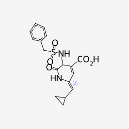 O=C(O)C1=C/C(=C/C2CC2)NC(=O)C1NS(=O)(=O)Cc1ccccc1